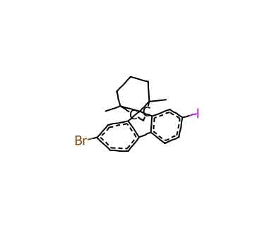 CC12CCCC(C)(CCC1)C21c2cc(Br)ccc2-c2ccc(I)cc21